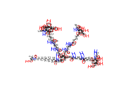 CC[C@@H]1C[C@@H](O)CN1C(=O)CCCCCCCCCCC(=O)NC[C@H]1OC[C@H](OCCC(=O)NCCCNC(=O)CCCCO[C@@H]2O[C@H](CO)[C@H](O)[C@H](O)[C@H]2NC(C)=O)[C@@H](OCCC(=O)NCCCNC(=O)CCCCO[C@@H]2O[C@H](CO)[C@H](O)[C@H](O)[C@H]2NC(C)=O)[C@@H]1OCCC(=O)NCCCNC(=O)CCCCO[C@@H]1O[C@H](CO)[C@H](O)[C@H](O)[C@H]1NC(C)=O